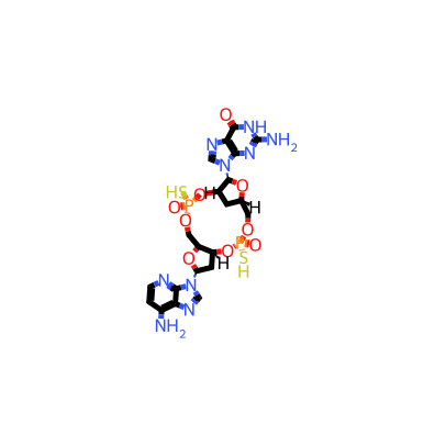 Nc1nc2c(ncn2[C@@H]2O[C@@H]3COP(=O)(S)O[C@H]4C[C@H](n5cnc6c(N)ccnc65)OC4COP(=O)(S)O[C@@H]2C3)c(=O)[nH]1